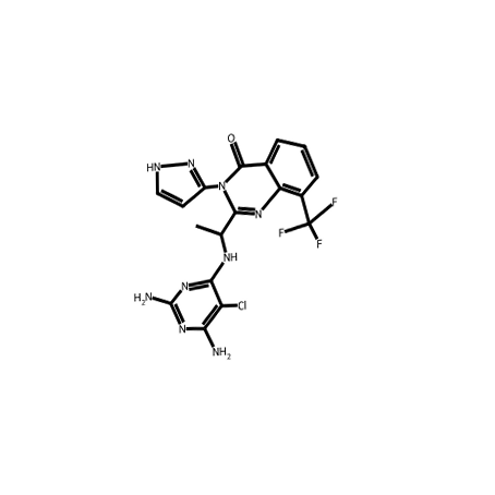 CC(Nc1nc(N)nc(N)c1Cl)c1nc2c(C(F)(F)F)cccc2c(=O)n1-c1cc[nH]n1